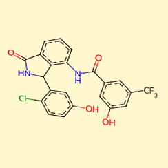 O=C(Nc1cccc2c1C(c1cc(O)ccc1Cl)NC2=O)c1cc(O)cc(C(F)(F)F)c1